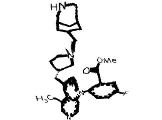 COC(=O)c1cc(F)ccc1-n1cc(C[C@@H]2CCN(CC3CC4CNCC(C4)C3)C2)c2c(C)cncc21